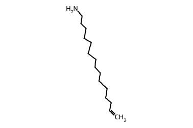 C=CCCCCCCCCCCCCCN